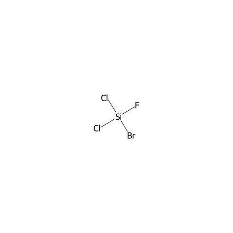 F[Si](Cl)(Cl)Br